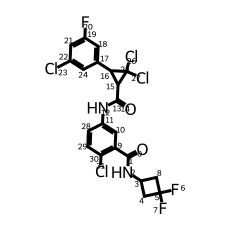 O=C(NC1CC(F)(F)C1)c1cc(NC(=O)C2C(c3cc(F)cc(Cl)c3)C2(Cl)Cl)ccc1Cl